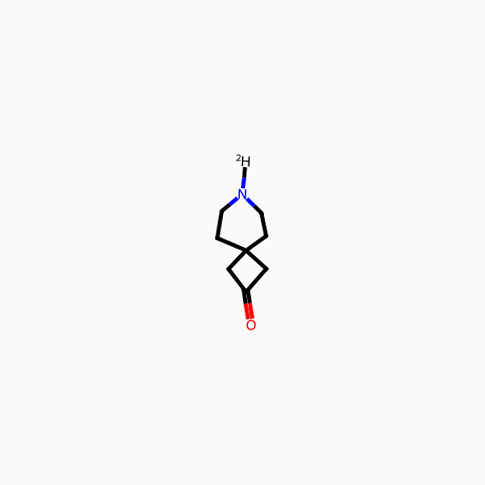 [2H]N1CCC2(CC1)CC(=O)C2